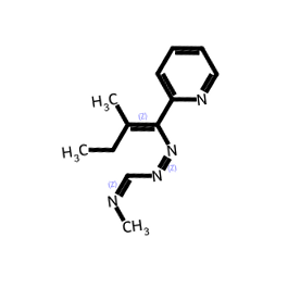 CC\C(C)=C(/N=N\C=N/C)c1ccccn1